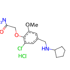 COc1cc(CNC2CCCC2)cc(Cl)c1OCC(N)=O.Cl